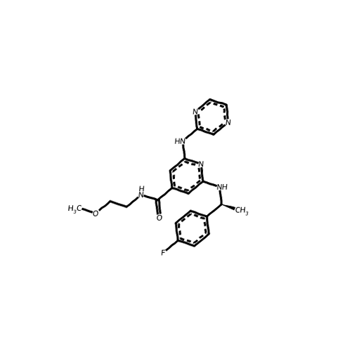 COCCNC(=O)c1cc(Nc2cnccn2)nc(N[C@@H](C)c2ccc(F)cc2)c1